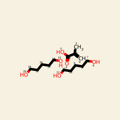 C=C(C)C(=O)O.OCCCCCO.OCCCCCO